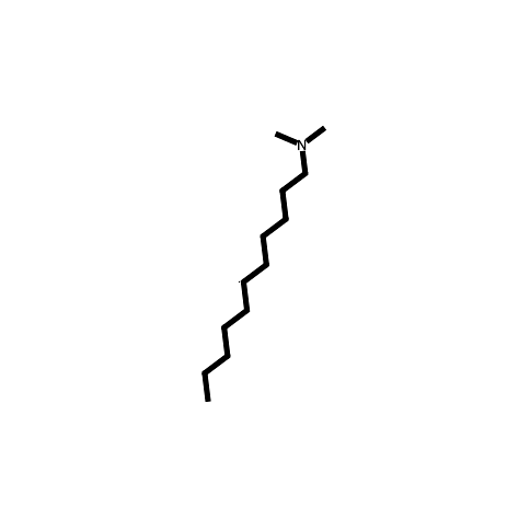 CCCCC[CH]CCCCCN(C)C